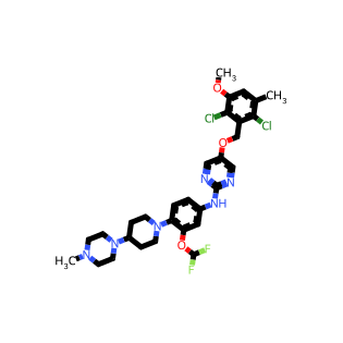 COc1cc(C)c(Cl)c(COc2cnc(Nc3ccc(N4CCC(N5CCN(C)CC5)CC4)c(OC(F)F)c3)nc2)c1Cl